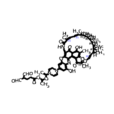 C=C(OC(C)OC(=O)CCC(C=O)C=O)N1CCN(c2cc(O)c3nc4c5c6c7c(C)c(O)c5c(=O)c(c-4oc3c2)NC(=O)/C(C)=C\C=C\[C@H](C)[C@H](O)[C@@H](C)[C@@H](O)[C@@H](C)[C@H](OC(C)=O)[C@H](C)[C@@H](C)/C=C/O[C@@](C)(O7)C6=O)CC1